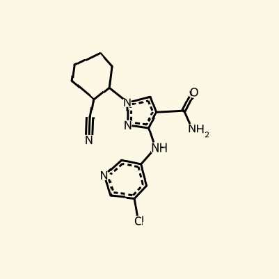 N#CC1CCCCC1n1cc(C(N)=O)c(Nc2cncc(Cl)c2)n1